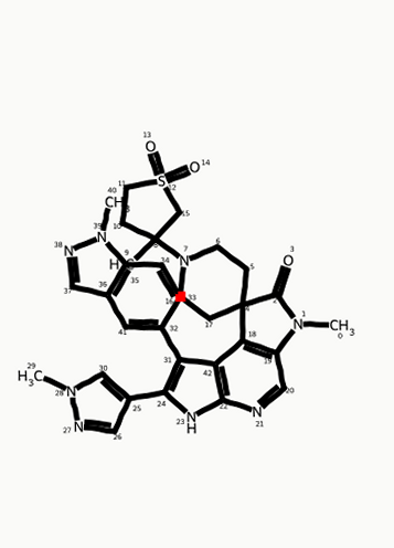 CN1C(=O)C2(CCN(C3(C)CCS(=O)(=O)C3)CC2)c2c1cnc1[nH]c(-c3cnn(C)c3)c(-c3ccc4c(cnn4C)c3)c21